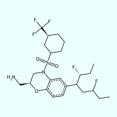 CCC(F)CC(c1ccc2c(c1)N(S(=O)(=O)C1CCC[C@H](C(F)(F)F)C1)C[C@H](CN)O2)[C@H](F)CC